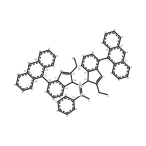 CCC1=Cc2c(-c3c4ccccc4cc4ccccc34)cccc2[CH]1[Zr]([CH]1C(CC)=Cc2c(-c3c4ccccc4cc4ccccc34)cccc21)=[Si](C)c1ccccc1